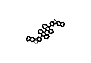 c1ccc2cc3c(cc2c1)oc1ccc(-c2c4ccccc4c(-c4c5ccccc5c(-c5ccc6sc7cc8ccccc8cc7c6c5)c5ccccc45)c4ccccc24)cc13